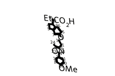 CCC(C(=O)O)C1CCc2cc(OCCc3nc(-c4ccc(OC)cc4)oc3C)ccc21